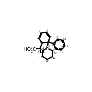 CCC(C(=O)O)C1C=CC=CC1(c1ccccc1)N1CCCCC1